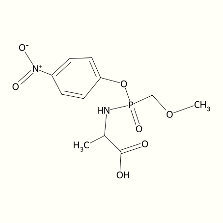 COCP(=O)(NC(C)C(=O)O)Oc1ccc([N+](=O)[O-])cc1